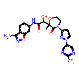 CC1(C(O)C(=O)Nc2ccc3c(N)noc3c2)OCCN(c2ccn(-c3cnc(C(F)(F)F)nc3)n2)C1=O